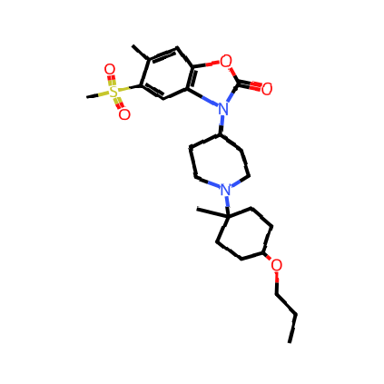 CCCOC1CCC(C)(N2CCC(n3c(=O)oc4cc(C)c(S(C)(=O)=O)cc43)CC2)CC1